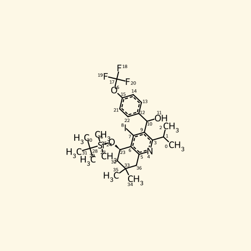 CC(C)c1nc2c(c(I)c1C(O)c1ccc(OC(F)(F)F)cc1)[C@H](O[Si](C)(C)C(C)(C)C)CC(C)(C)C2